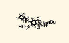 CCCCOCNS(=O)(=O)c1cc(C(=O)O)c(NCc2ccco2)cc1Cl